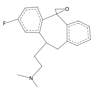 CN(C)CCC1Cc2ccccc2C2(CO2)c2ccc(F)cc21